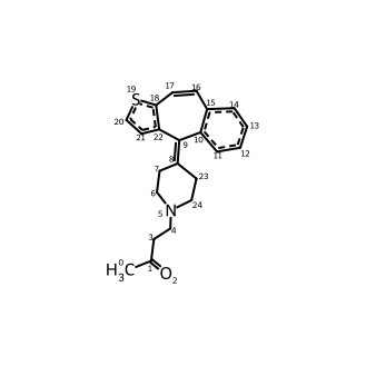 CC(=O)CCN1CCC(=C2c3ccccc3C=Cc3sccc32)CC1